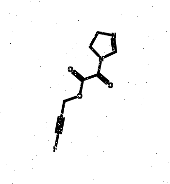 O=C(OCC#CF)C(=O)N1C=NCC1